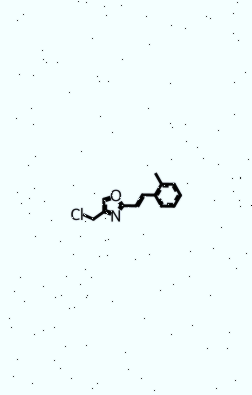 Cc1ccccc1C=Cc1nc(CCl)co1